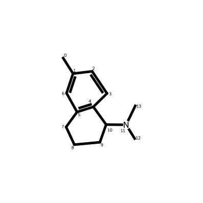 Cc1ccc2c(c1)CCCC2N(C)C